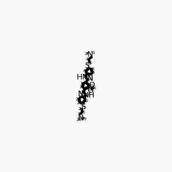 CN(C)CCCSc1ccc2nc(-c3ccc(-c4nc5ccc(SCCCN(C)C)cc5[nH]4)c4c3OCO4)[nH]c2c1